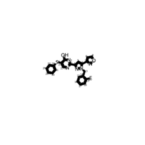 Oc1nc(-c2cc(-c3ccon3)n(Cc3ccccc3F)n2)ncc1Sc1ccccc1